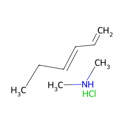 C=CC=CCC.CNC.Cl